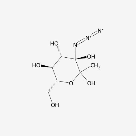 CC1(O)O[C@H](CO)[C@@H](O)[C@H](O)[C@]1(O)N=[N+]=[N-]